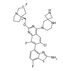 Nc1nc2c(-c3c(Cl)cc4c(N5CCNC6(CNC6)C5)nc(OC[C@@]56CCCN5C[C@H](F)C6)nc4c3F)ccc(F)c2s1